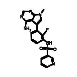 Cn1cc(-c2cccc(NS(=O)(=O)c3cccnc3)c2F)c2c(N)ncnc21